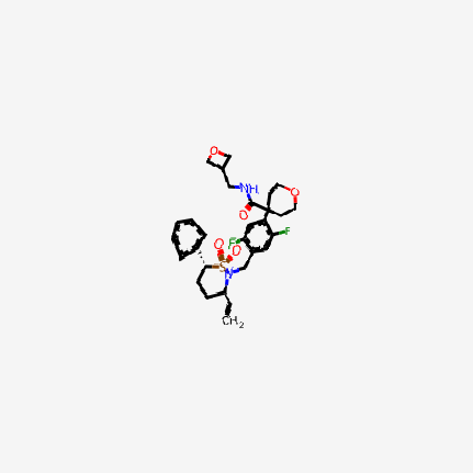 C=C[C@H]1CC[C@H](c2ccccc2)S(=O)(=O)N1Cc1cc(F)c(C2(C(=O)NCC3COC3)CCOCC2)cc1F